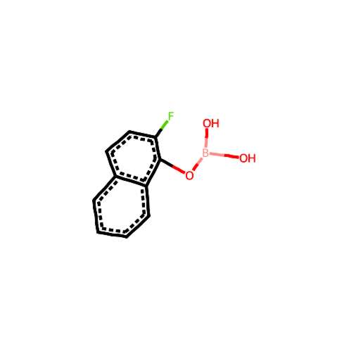 OB(O)Oc1c(F)ccc2ccccc12